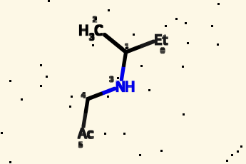 CCC(C)NCC(C)=O